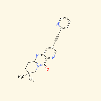 CC1(C(F)(F)F)CCc2nc3cc(C#Cc4ccccn4)cnc3c(=O)n2C1